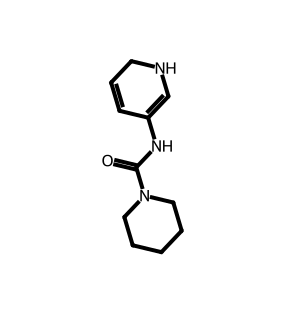 O=C(NC1=CNCC=C1)N1CCCCC1